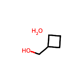 O.OCC1CCC1